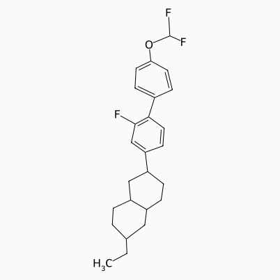 CCC1CCC2CC(c3ccc(-c4ccc(OC(F)F)cc4)c(F)c3)CCC2C1